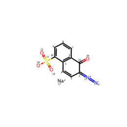 [N-]=[N+]=C1C=Cc2c(cccc2S(=O)(=O)[O-])C1=O.[Na+]